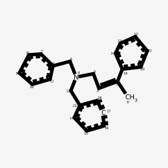 C/C(=C/CN(Cc1ccccc1)Cc1ccccc1)c1ccccc1